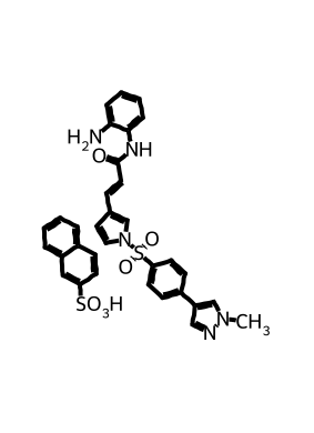 Cn1cc(-c2ccc(S(=O)(=O)n3ccc(C=CC(=O)Nc4ccccc4N)c3)cc2)cn1.O=S(=O)(O)c1ccc2ccccc2c1